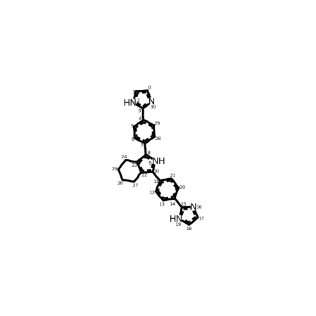 c1c[nH]c(-c2ccc(-c3[nH]c(-c4ccc(-c5ncc[nH]5)cc4)c4c3CCCC4)cc2)n1